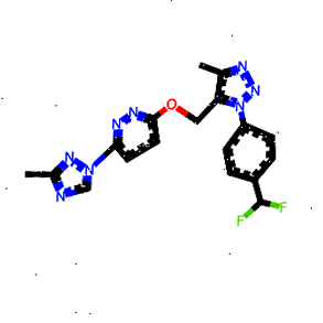 Cc1ncn(-c2ccc(OCc3c(C)nnn3-c3ccc(C(F)F)cc3)nn2)n1